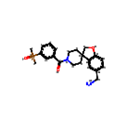 C[SH](C)(=O)c1cccc(C(=O)N2CCC3(CC2)COc2ccc(CN)cc23)c1